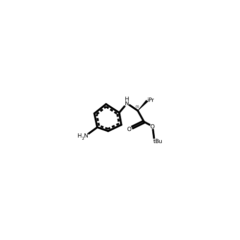 CC(C)[C@H](Nc1ccc(N)cc1)C(=O)OC(C)(C)C